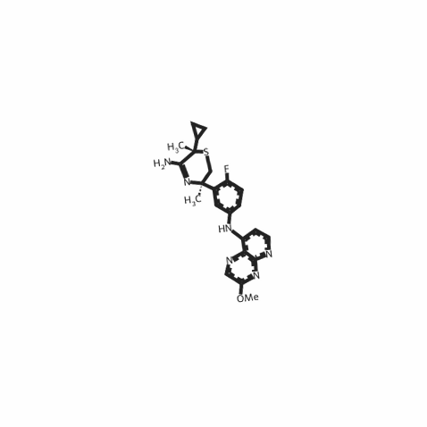 COc1cnc2c(Nc3ccc(F)c([C@]4(C)CS[C@@](C)(C5CC5)C(N)=N4)c3)ccnc2n1